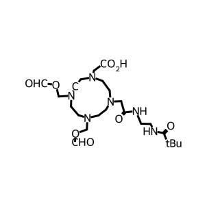 CC(C)(C)C(=O)NCCNC(=O)CN1CCN(COC=O)CCN(COC=O)CCN(CC(=O)O)CC1